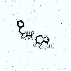 Cc1cnn2c1N(C)C(=O)[C@H](NC(=O)c1nnc(Cc3ccccc3)[nH]1)CC2